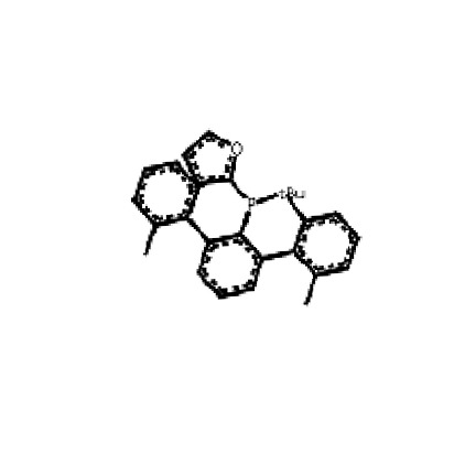 Cc1cccc(C)c1-c1cccc(-c2c(C)cccc2C)c1P(c1ccco1)C(C)(C)C